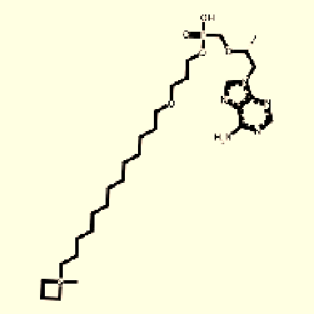 C[C@H](Cn1cnc2c(N)ncnc21)OCP(=O)(O)OCCCOCCCCCCCCCCCCCS1(C)CCC1